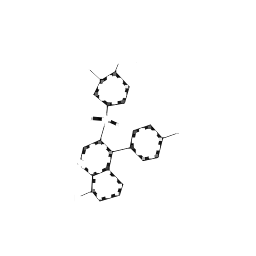 Cc1ccc(S(=O)(=O)c2cnc3c(F)cccc3c2-c2ccc(Cl)cc2)cc1C